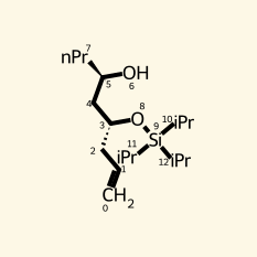 C=CC[C@H](C[C@H](O)CCC)O[Si](C(C)C)(C(C)C)C(C)C